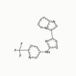 FC(F)(F)c1ccc(Nc2nc(-c3cnc4ccccn34)cs2)cn1